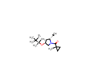 C#C[C@H]1C[C@H](O[Si](C)(C)C(C)(C)C)CN1C(=O)C1(C)CC1